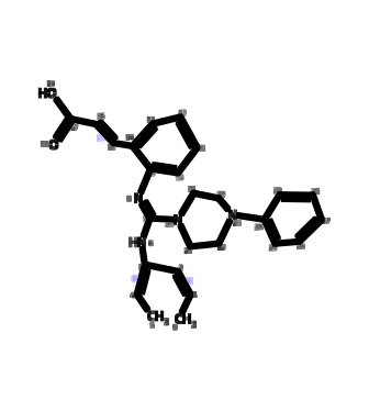 C/C=C\C(=C/C)NC(=Nc1ccccc1/C=C/C(=O)O)N1CCN(c2ccccc2)CC1